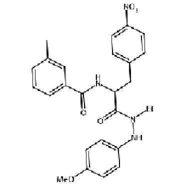 CCN(Nc1ccc(OC)cc1)C(=O)C(Cc1ccc([N+](=O)[O-])cc1)NC(=O)c1cccc(C)c1